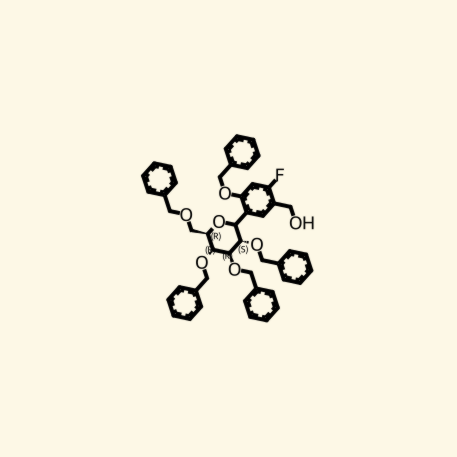 OCc1cc(C2O[C@H](COCc3ccccc3)[C@@H](OCc3ccccc3)[C@H](OCc3ccccc3)[C@H]2OCc2ccccc2)c(OCc2ccccc2)cc1F